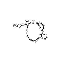 O=C(O)c1ccc2cc1OCCOCCOc1cccc(c1)-c1ccnc(n1)N2